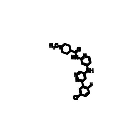 CN1CCC(C(=O)Nc2cc(Nc3cnnc(-c4cc(Cl)ccc4F)c3)ccn2)CC1